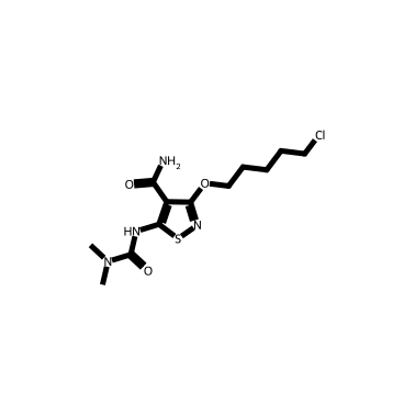 CN(C)C(=O)Nc1snc(OCCCCCCl)c1C(N)=O